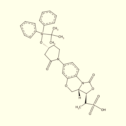 CC([C@@H]1OC(=O)N2c3ccc(N4CC[C@@H](O[Si](c5ccccc5)(c5ccccc5)C(C)(C)C)CC4=O)cc3OC[C@@H]12)S(=O)(=O)O